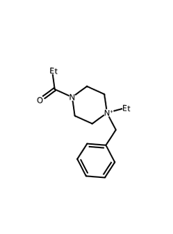 CCC(=O)N1CC[N+](CC)(Cc2ccccc2)CC1